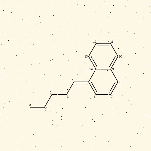 C[CH]CCCc1cccc2ccccc12